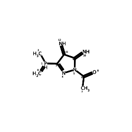 C=[PH](C)C1=NN(C(C)=O)C(=N)C1=N